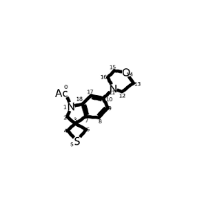 CC(=O)N1CC2(CSC2)c2ccc(N3CCOCC3)cc21